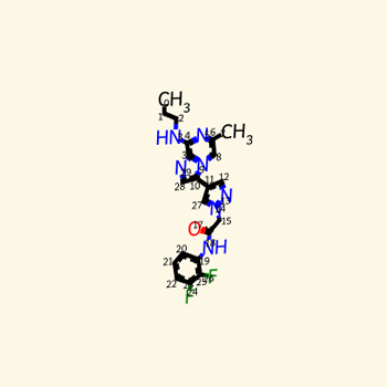 CCCNc1nc(C)cn2c(-c3cnn(CC(=O)Nc4cccc(F)c4F)c3)cnc12